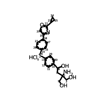 Cl.NC(CO)(CO)CC(O)c1ccc(Sc2ccc(-c3coc(C4CC4)n3)cc2)cc1